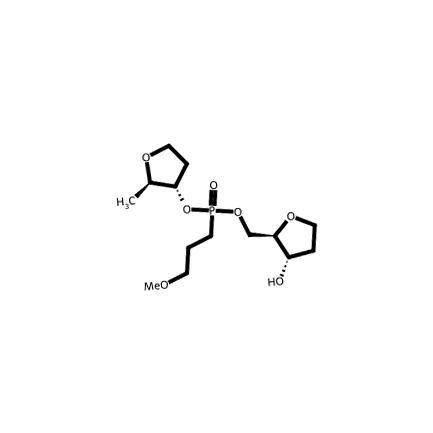 COCCCP(=O)(OC[C@H]1OCC[C@@H]1O)O[C@H]1CCO[C@@H]1C